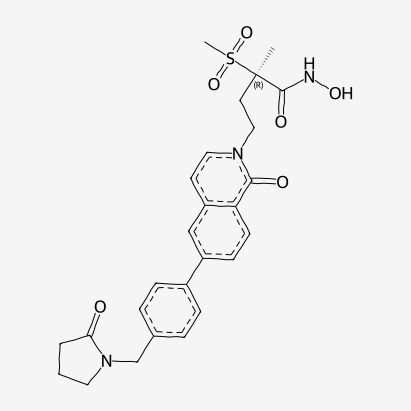 C[C@@](CCn1ccc2cc(-c3ccc(CN4CCCC4=O)cc3)ccc2c1=O)(C(=O)NO)S(C)(=O)=O